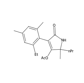 CCCC1(C)NC(=O)C(c2c(C)cc(C)cc2CC)=C1OC(C)=O